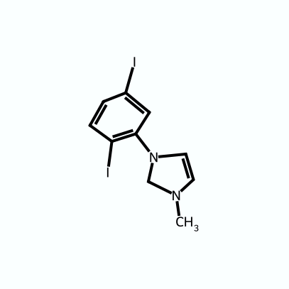 CN1C=CN(c2cc(I)ccc2I)C1